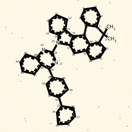 CC1(C)c2ccccc2-c2c3c1cccc3cc1c2c2ccccc2n1-c1nc(-c2ccc(-c3ccccc3)cc2)c2ccccc2n1